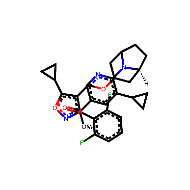 COC(=O)c1cnc(N2C3CC[C@H]2CC(OCc2c(-c4c(F)cccc4F)noc2C2CC2)C3)c(C2CC2)c1